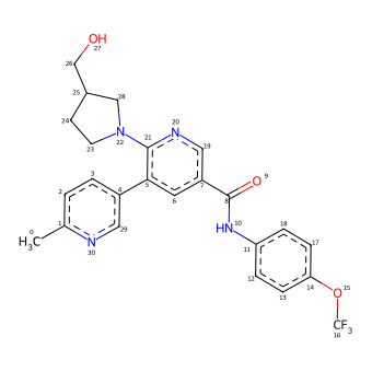 Cc1ccc(-c2cc(C(=O)Nc3ccc(OC(F)(F)F)cc3)cnc2N2CCC(CO)C2)cn1